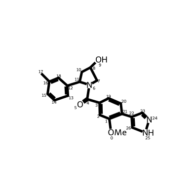 COc1cc(C(=O)N2CC(O)CC2c2cccc(C)c2)ccc1-c1cn[nH]c1